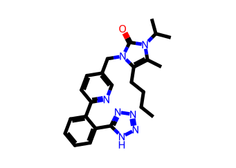 CCCCc1c(C)n(C(C)C)c(=O)n1Cc1ccc(-c2ccccc2-c2nnn[nH]2)nc1